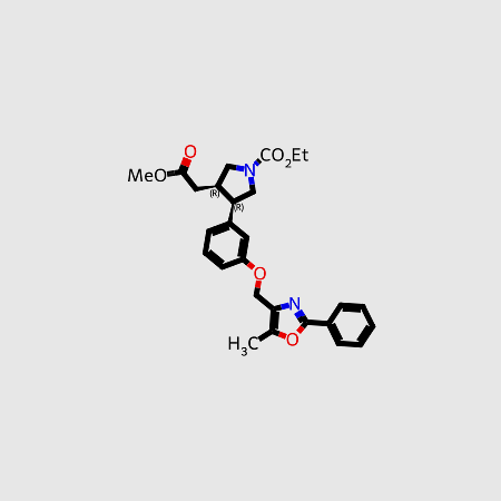 CCOC(=O)N1C[C@H](CC(=O)OC)[C@H](c2cccc(OCc3nc(-c4ccccc4)oc3C)c2)C1